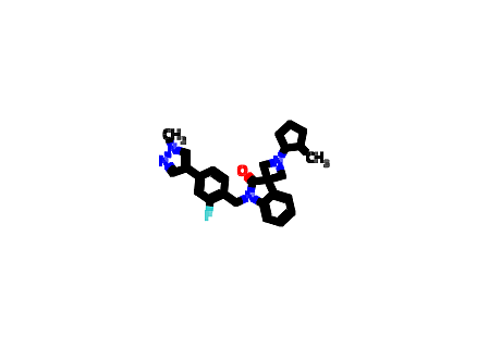 CC1CCCC1N1CC2(C1)C(=O)N(Cc1ccc(-c3cnn(C)c3)cc1F)c1ccccc12